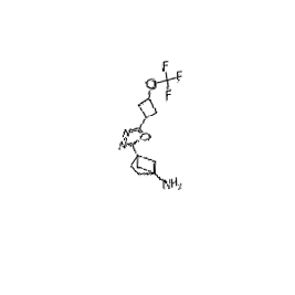 NC12CCC(c3nnc(C4CC(OC(F)(F)F)C4)o3)(C1)C2